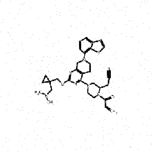 C=CC(=O)N1CCN(c2nc(OCC3(CN(C)C)CC3)nc3c2CCN(c2cccc4ccsc24)C3)CC1CC#N